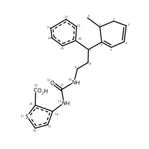 CC1CC=CC=C1C(CCNC(=O)Nc1ccsc1C(=O)O)c1ccccc1